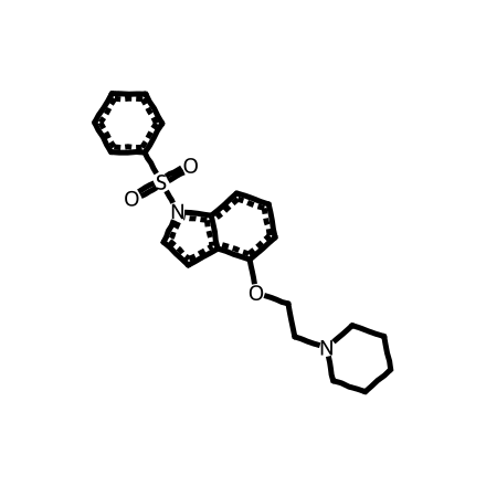 O=S(=O)(c1ccccc1)n1ccc2c(OCCN3CCCCC3)cccc21